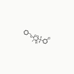 C[C@H](NC(=O)C(F)(F)c1cccc(Cl)c1)C(=O)OCc1ccccc1